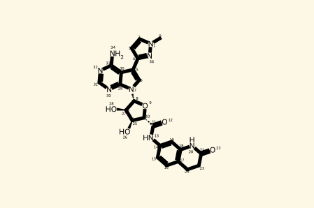 Cn1ccc(-c2cn([C@@H]3O[C@H](C(=O)Nc4ccc5c(c4)NC(=O)CC5)[C@@H](O)[C@H]3O)c3ncnc(N)c23)n1